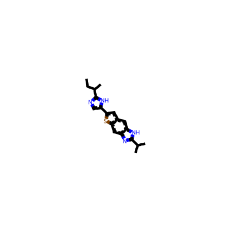 CCC(C)c1ncc(-c2cc3cc4[nH]c(C(C)C)nc4cc3s2)[nH]1